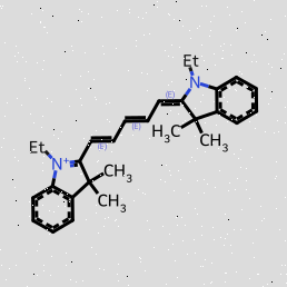 CCN1/C(=C/C=C/C=C/C2=[N+](CC)c3ccccc3C2(C)C)C(C)(C)c2ccccc21